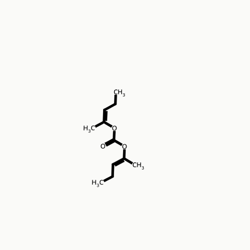 CCC=C(C)OC(=O)OC(C)=CCC